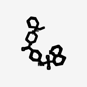 CC[C@]1(N2CCN(C(=O)c3ccc(NS(=O)(=O)c4cccc5cccnc45)cc3)CC2)C=CC=CC1